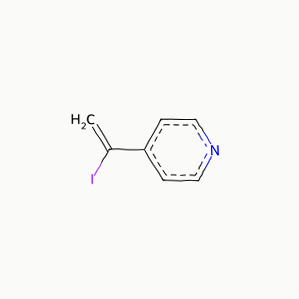 C=C(I)c1ccncc1